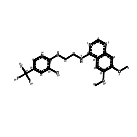 COc1cc2ncnc(NCCOc3ncc(C(F)(F)F)cc3Cl)c2cc1OC